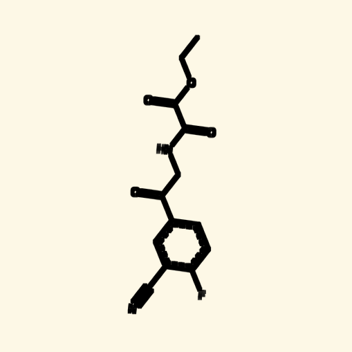 CCOC(=O)C(=O)NCC(=O)c1ccc(F)c(C#N)c1